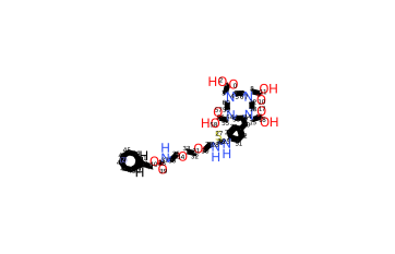 O=C(O)CN1CCN(CC(=O)O)CCN(CC(=O)O)C(Cc2ccc(NC(=S)NCCOCCOCCNC(=O)OCC3[C@H]4CC/C=C\CC[C@@H]34)cc2)CN(CC(=O)O)CC1